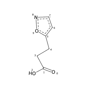 O=C(O)CCc1c[c]no1